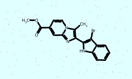 COC(=O)c1ccn2c(C)c(-c3[nH]c4ccccc4c3Br)nc2c1